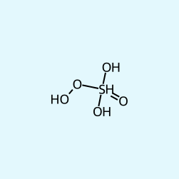 O=[SH](O)(O)OO